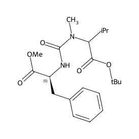 COC(=O)[C@H](Cc1ccccc1)NC(=O)N(C)C(C(=O)OC(C)(C)C)C(C)C